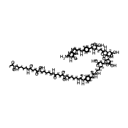 CC(=O)N(O)CCCCCNC(=O)CCC(=O)N(O)CCCCCNC(=O)CCC(=O)N(O)CCCCCNC(=S)Nc1ccc(NC(=S)NCCCC[C@@H](CC(=O)O)NC(=O)[C@H](CC(=O)O)NC(=O)[C@H](CC(=O)O)NC(=O)CC[C@H](NC(=O)c2ccc(NCc3cnc4nc(N)[nH]c(=O)c4n3)cc2)C(=O)O)cc1